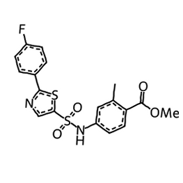 COC(=O)c1ccc(NS(=O)(=O)c2cnc(-c3ccc(F)cc3)s2)cc1C